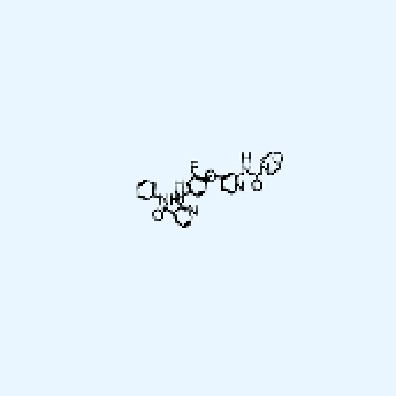 O=C(Nc1ccccc1)c1cccnc1Nc1ccc(Oc2ccnc(NC(=O)N3CCOCC3)c2)c(F)c1